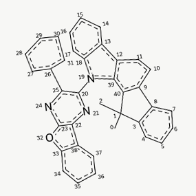 CC1(C)c2ccccc2-c2ccc3c4ccccc4n(-c4nc5c(nc4-c4ccccc4)oc4ccccc45)c3c21